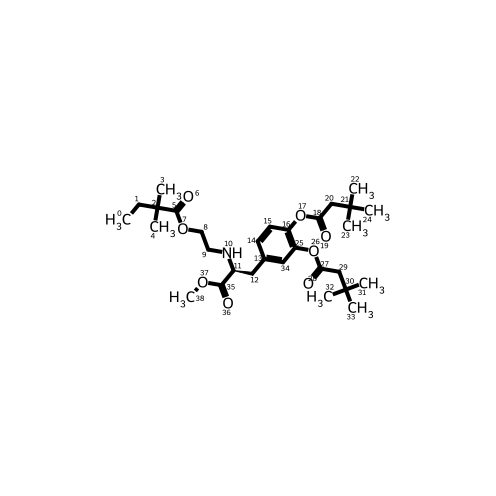 CCC(C)(C)C(=O)OCCN[C@@H](Cc1ccc(OC(=O)CC(C)(C)C)c(OC(=O)CC(C)(C)C)c1)C(=O)OC